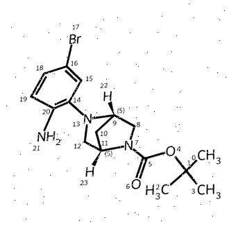 CC(C)(C)OC(=O)N1C[C@@H]2C[C@H]1CN2c1cc(Br)ccc1N